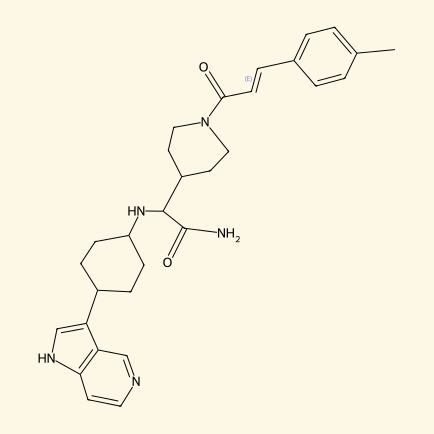 Cc1ccc(/C=C/C(=O)N2CCC(C(NC3CCC(c4c[nH]c5ccncc45)CC3)C(N)=O)CC2)cc1